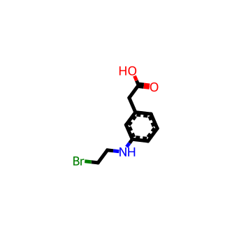 O=C(O)Cc1cccc(NCCBr)c1